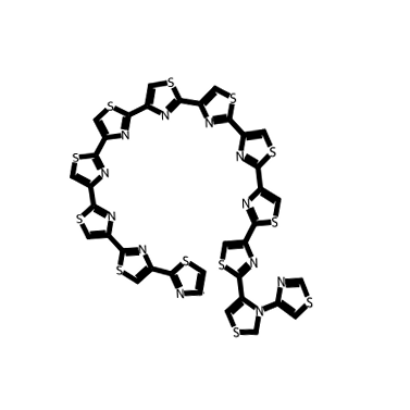 [c]1csc(-c2csc(-c3csc(-c4csc(-c5csc(-c6csc(-c7csc(-c8csc(-c9csc(-c%10csc(C%11=CSCN%11c%11cscn%11)n%10)n9)n8)n7)n6)n5)n4)n3)n2)n1